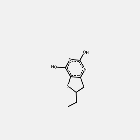 CCC1Cc2nc(O)nc(O)c2S1